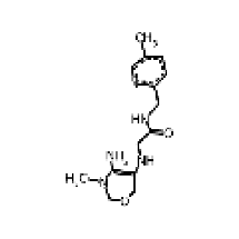 Cc1ccc(CNC(=O)CNC2=C(N)N(C)COC2)nc1